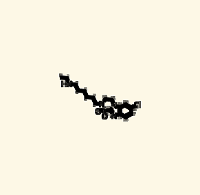 CCNCCCCCCN1CCn2c(nc3ccc(Cl)cc32)S1(=O)=O